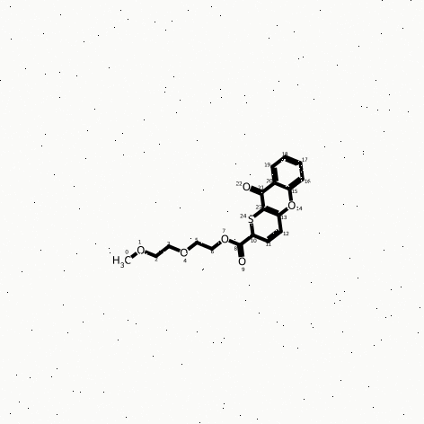 COCCOCCOC(=O)C1C=Cc2oc3ccccc3c(=O)c2S1